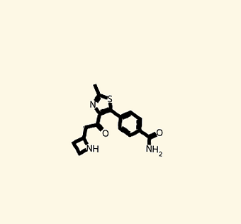 Cc1nc(C(=O)[CH]C2CCN2)c(-c2ccc(C(N)=O)cc2)s1